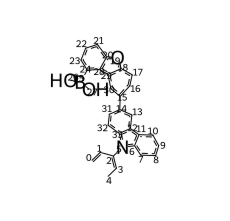 C=C/C(=C\C)n1c2ccccc2c2cc(-c3ccc4oc5cccc(B(O)O)c5c4c3)ccc21